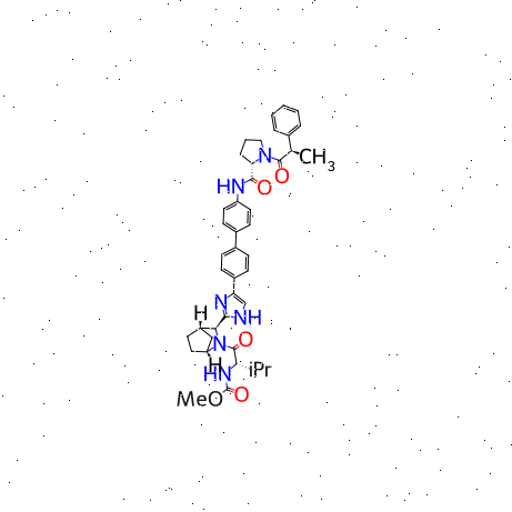 COC(=O)N[C@H](C(=O)N1[C@@H]2CC[C@@H](C2)[C@H]1c1nc(-c2ccc(-c3ccc(NC(=O)[C@@H]4CCCN4C(=O)[C@H](C)c4ccccc4)cc3)cc2)c[nH]1)C(C)C